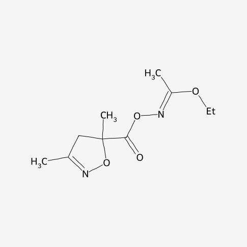 CCO/C(C)=N/OC(=O)C1(C)CC(C)=NO1